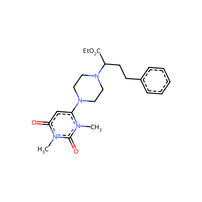 CCOC(=O)C(CCc1ccccc1)N1CCN(c2cc(=O)n(C)c(=O)n2C)CC1